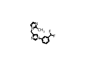 Cc1nccn1Cc1cn(-c2cccc(C(F)F)c2)cn1